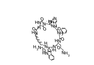 C[C@@H]1C(=O)N[C@@H](Cc2cnc[nH]2)C(=O)N[C@H](Cc2ccccc2)C(=O)N[C@@H](CCCN)C(=O)N[C@@H](Cc2c[nH]c3ccccc23)C(=O)N[C@H](C(N)=O)CCCCNC(=O)C[C@@H]2NC(=O)N1C2=O